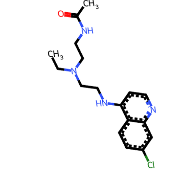 CCN(CCNC(C)=O)CCNc1ccnc2cc(Cl)ccc12